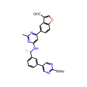 CNc1ncc(-c2cccc([C@H](C)Nc3cc(-c4ccc5occ(C=O)c5c4)nc(C)n3)c2)cn1